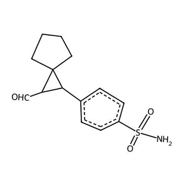 NS(=O)(=O)c1ccc(C2C(C=O)C23CCCC3)cc1